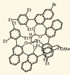 CCc1cc(CC)c(-c2cc3cc(Br)ccc3c3c2OI(NP2(=O)Oc4c(-c5c(CC)cc(CC)cc5CC)cc5ccccc5c4-c4c(c(-c5c(CC)cc(CC)cc5CC)cc5ccccc45)O2)Oc2c(-c4c(CC)cc(CC)cc4COC)cc4ccccc4c2-3)c(CC)c1